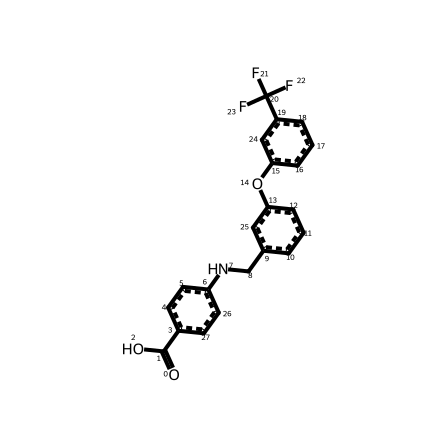 O=C(O)c1ccc(NCc2cccc(Oc3cccc(C(F)(F)F)c3)c2)cc1